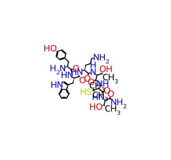 C[C@@H](O)[C@H](NC(=O)[C@@H](NC(=O)[C@@H](NC(=O)[C@H](CCCN)NC(=O)[C@@H](Cc1c[nH]c2ccccc12)NC(=O)[C@@H](N)Cc1ccc(O)cc1)[C@@H](C)O)C(C)(C)S)C(N)=O